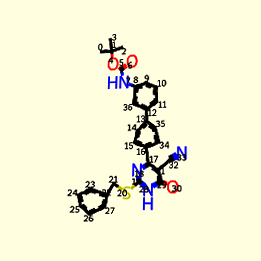 CC(C)(C)OC(=O)Nc1cccc(-c2ccc(-c3nc(SCc4ccccc4)[nH]c(=O)c3C#N)cc2)c1